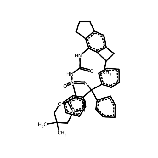 CC1Cc2cc3c(c(NC(=O)NS(=O)(=NC(c4ccccc4)(c4ccccc4)c4ccccc4)c4cnn5c4OCC(C)(C)C5)c21)CCC3